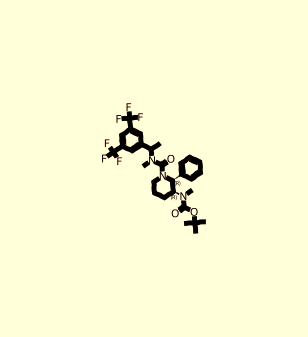 CC(c1cc(C(F)(F)F)cc(C(F)(F)F)c1)N(C)C(=O)N1CCC[C@@H](N(C)C(=O)OC(C)(C)C)[C@H]1c1ccccc1